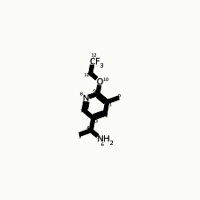 Cc1cc(C(C)N)cnc1OCC(F)(F)F